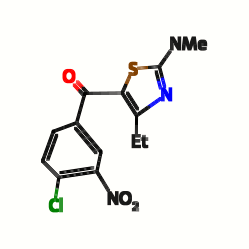 CCc1nc(NC)sc1C(=O)c1ccc(Cl)c([N+](=O)[O-])c1